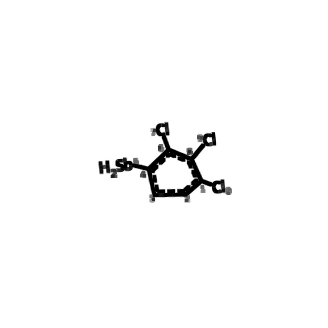 Clc1cc[c]([SbH2])c(Cl)c1Cl